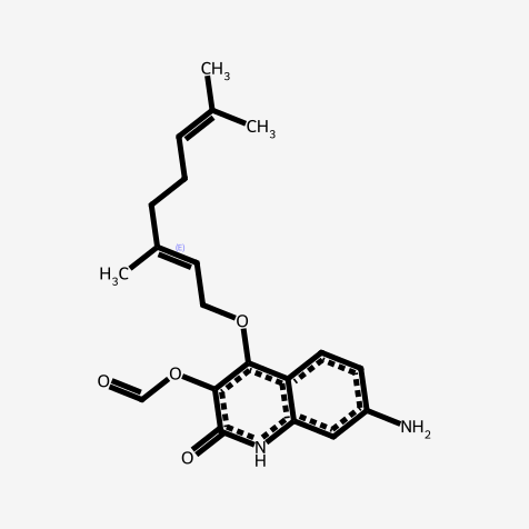 CC(C)=CCC/C(C)=C/COc1c(OC=O)c(=O)[nH]c2cc(N)ccc12